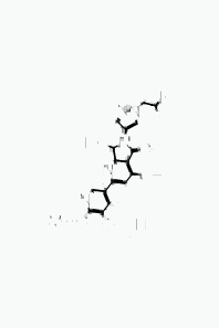 COc1ncc(-c2cc(C)c3c(n2)C(C)N(c2cnn(CC(F)F)c2)C3=O)cc1C(=O)O